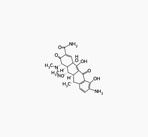 C[C@H]1c2ccc(N)c(O)c2C(=O)C2=C(O)[C@]3(O)C=C(C(N)=O)C(=O)[C@@H](N(C)C)[C@@H]3[C@@H](O)[C@@H]21